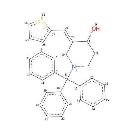 OC1CCN(C(c2ccccc2)(c2ccccc2)c2ccccc2)C/C1=C\c1cccs1